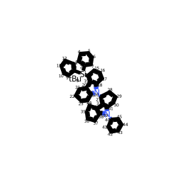 CC(C)(C)[Si](c1ccccc1)(c1ccccc1)c1cccc2c1c1ccccc1n2-c1cccc2c1c1ccccc1n2-c1ccccc1